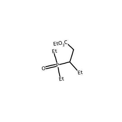 CCOC(=O)CC(CC)P(=O)(CC)CC